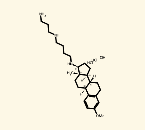 COc1ccc2c(c1)CC[C@@H]1[C@@H]2CC[C@]2(C)[C@@H](NCCCCNCCCN)CC[C@@H]12.Cl.Cl.Cl